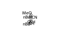 CCCCNC(=O)Nc1ccc(-c2c(C#N)c3ccc(OC)cc3n2CCCC)cc1